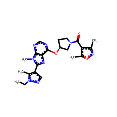 CCn1ncc(-c2nc3c(O[C@H]4CCN(C(=O)c5c(C)noc5C)C4)ncnc3n2C)c1C